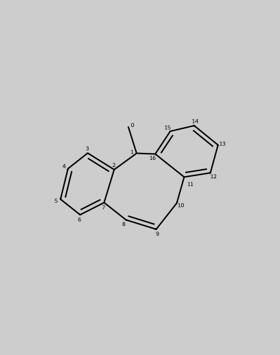 CC1c2ccccc2/C=C\Cc2ccccc21